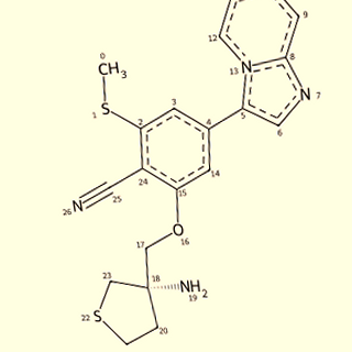 CSc1cc(-c2cnc3ccccn23)cc(OC[C@@]2(N)CCSC2)c1C#N